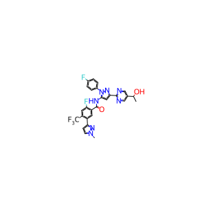 CC(O)c1cnc(-c2cc(NC(=O)c3cc(-c4ccn(C)n4)c(C(F)(F)F)cc3F)n(-c3ccc(F)cc3)n2)nc1